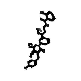 COc1nn(-c2cccc(C(CCNC(=O)c3ccccc3O)OC)c2)c(=O)n(Cc2ccc(Cl)cc2)c1=O